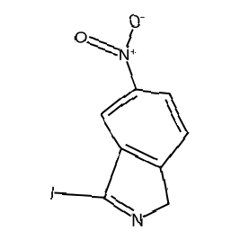 O=[N+]([O-])c1ccc2c(c1)C(I)=NC2